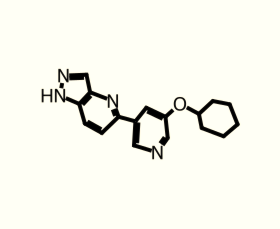 c1ncc(-c2ccc3[nH]ncc3n2)cc1OC1CCCCC1